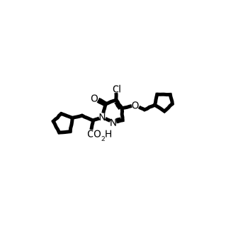 O=C(O)C(CC1CCCC1)n1ncc(OCC2CCCC2)c(Cl)c1=O